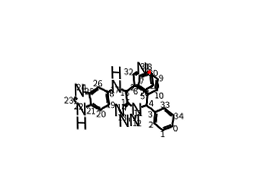 c1ccc(C(c2ccccc2)n2nnnc2C(Nc2ccc3[nH]cnc3c2)c2cccnc2)cc1